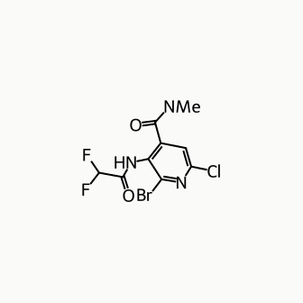 CNC(=O)c1cc(Cl)nc(Br)c1NC(=O)C(F)F